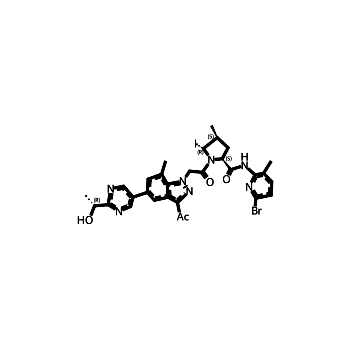 CC(=O)c1nn(CC(=O)N2[C@H](I)[C@@H](C)C[C@H]2C(=O)Nc2nc(Br)ccc2C)c2c(C)cc(-c3cnc([C@@H](C)O)nc3)cc12